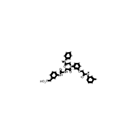 Cc1cccc(N(C)C(=O)COc2cccc(N(CC(=O)N(C)c3ccccc3)C(=O)CNC(=O)Nc3cccc(CC(=O)O)c3)c2)c1